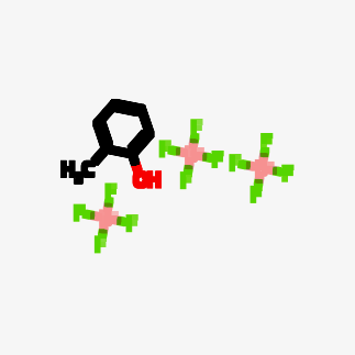 Cc1ccccc1O.F[B-](F)(F)F.F[B-](F)(F)F.F[B-](F)(F)F